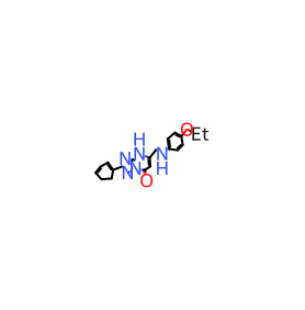 CCOc1ccc(NCc2cc(=O)n3nc(C4=CC=CCC4)nc3[nH]2)cc1